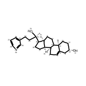 C[C@]12CCC3[C@@H](CC=C4C[C@@H](O)CC[C@@]43C)C1CCC2[C@](C)(O)CCc1cccnc1